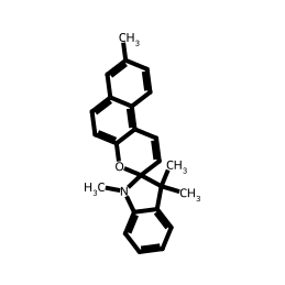 Cc1ccc2c3c(ccc2c1)OC1(C=C3)N(C)c2ccccc2C1(C)C